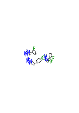 Cc1nnc2ccc(-c3ccc(Cl)cc3)cn12.Cc1nnc2ccc(-c3cccc(F)c3)cn12.Cc1nnc2cccc(-c3ccccc3C(F)(F)F)n12